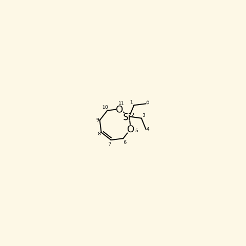 CC[Si]1(CC)OC/C=C\CCO1